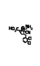 CCC12C(CC(Cc3cccc(Cl)c3Cl)C1(C#N)C(=O)CN)C2C(=O)O